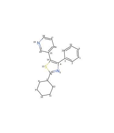 c1ccc(-c2nc(C3CCCCC3)sc2-c2cccnc2)cc1